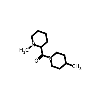 CC1CCN(C(=O)C2CCCCN2C)CC1